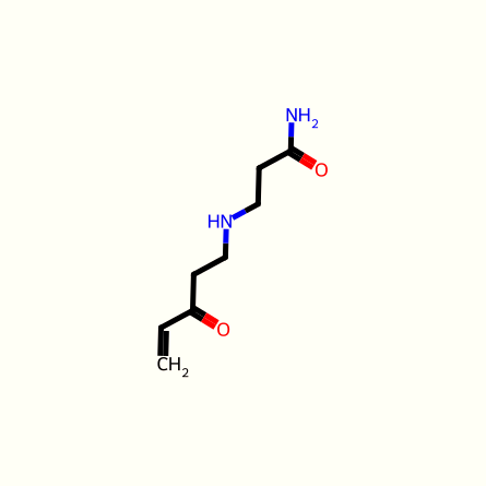 C=CC(=O)CCNCCC(N)=O